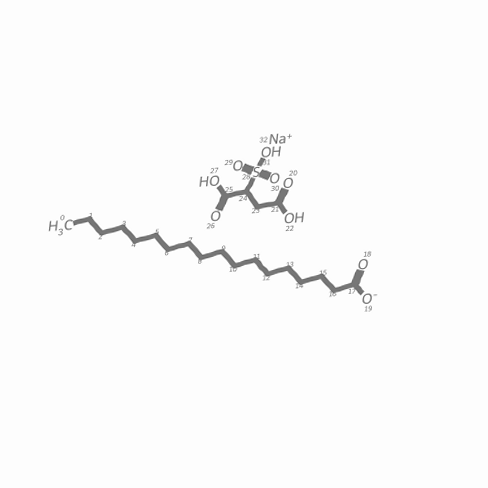 CCCCCCCCCCCCCCCCCC(=O)[O-].O=C(O)CC(C(=O)O)S(=O)(=O)O.[Na+]